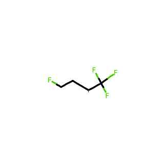 FCC[CH]C(F)(F)F